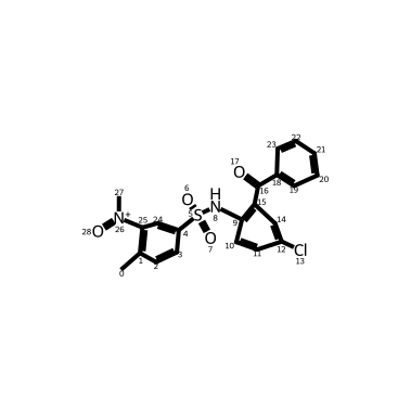 Cc1ccc(S(=O)(=O)Nc2ccc(Cl)cc2C(=O)c2ccccc2)cc1[N+](C)=O